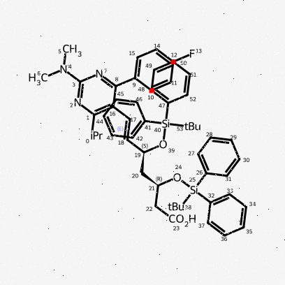 CC(C)c1nc(N(C)C)nc(-c2ccc(F)cc2)c1/C=C/[C@H](C[C@H](CC(=O)O)O[Si](c1ccccc1)(c1ccccc1)C(C)(C)C)O[Si](c1ccccc1)(c1ccccc1)C(C)(C)C